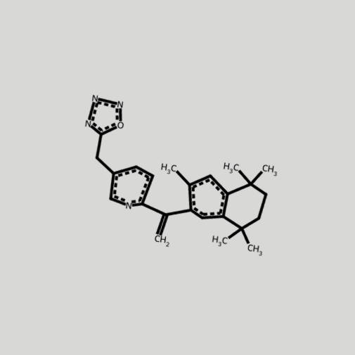 C=C(c1ccc(Cc2nnno2)cn1)c1cc2c(cc1C)C(C)(C)CCC2(C)C